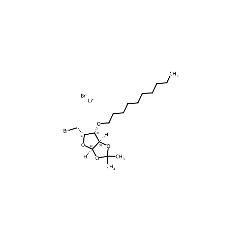 CCCCCCCCCCO[C@@H]1[C@H]2OC(C)(C)O[C@H]2O[C@@H]1CBr.[Br-].[Li+]